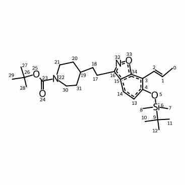 C/C=C/c1c(O[Si](C)(C)C(C)(C)C)ccc2c(CCC3CCN(C(=O)OC(C)(C)C)CC3)noc12